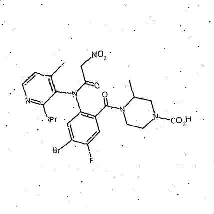 Cc1ccnc(C(C)C)c1N(C(=O)C[N+](=O)[O-])c1cc(Br)c(F)cc1C(=O)N1CCN(C(=O)O)CC1C